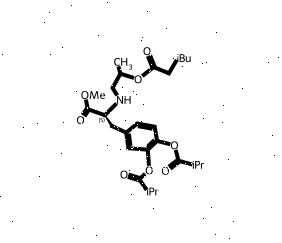 CCC(C)CC(=O)OC(C)CN[C@@H](Cc1ccc(OC(=O)C(C)C)c(OC(=O)C(C)C)c1)C(=O)OC